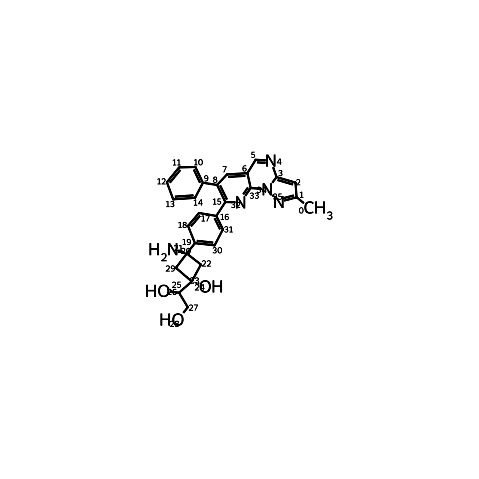 Cc1cc2ncc3cc(-c4ccccc4)c(-c4ccc([C@]5(N)C[C@@](O)(C(O)CO)C5)cc4)nc3n2n1